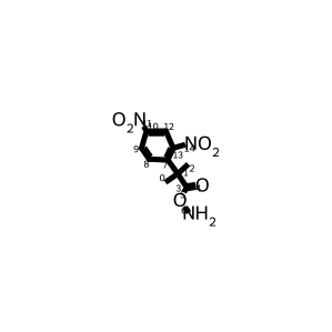 CC(C)(C(=O)ON)c1ccc([N+](=O)[O-])cc1[N+](=O)[O-]